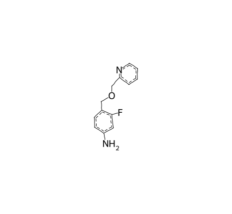 Nc1ccc(COCc2ccccn2)c(F)c1